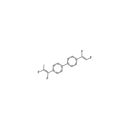 C/C(F)=C(/F)c1ccc(-c2ccc(/C(F)=C/F)cc2)cc1